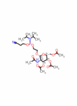 CC(=O)N[C@H]1[C@H](OCCOP(OCCC#N)N(C(C)C)C(C)C)O[C@H](COC(C)=O)[C@H](OC(C)=O)[C@@H]1OC(C)=O